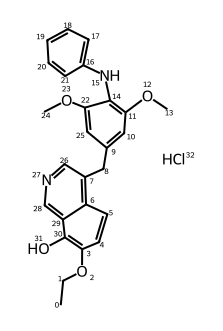 CCOc1ccc2c(Cc3cc(OC)c(Nc4ccccc4)c(OC)c3)cncc2c1O.Cl